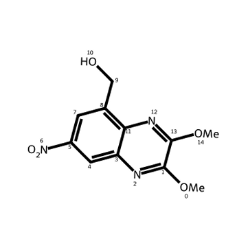 COc1nc2cc([N+](=O)[O-])cc(CO)c2nc1OC